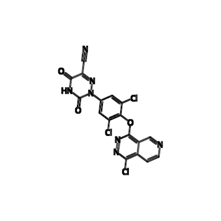 N#Cc1nn(-c2cc(Cl)c(Oc3nnc(Cl)c4ccncc34)c(Cl)c2)c(=O)[nH]c1=O